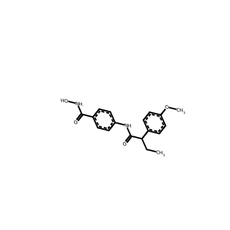 CCC(C(=O)Nc1ccc(C(=O)NO)cc1)c1ccc(OC)cc1